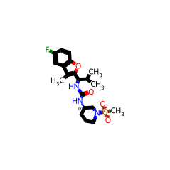 Cc1c(C(NC(=O)N[C@@H]2CCCN(S(C)(=O)=O)C2)C(C)C)oc2ccc(F)cc12